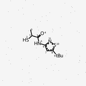 CC(S)C(=O)Nc1cc(C(C)(C)C)sn1